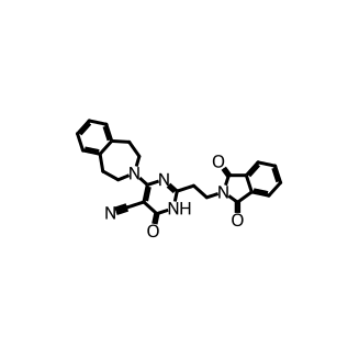 N#Cc1c(N2CCc3ccccc3CC2)nc(CCN2C(=O)c3ccccc3C2=O)[nH]c1=O